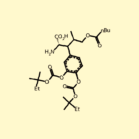 CCCCC(=O)OCC(C)C(c1ccc(OC(=O)OC(C)(C)CC)c(OC(=O)OC(C)(C)CC)c1)[C@H](N)C(=O)O